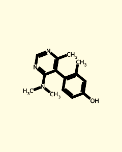 Cc1cc(O)ccc1-c1c(C)ncnc1N(C)C